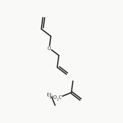 C=C(C)C(=O)O.C=CCOCC=C.CCC